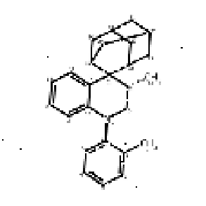 Cc1ccccc1N1C[C@@H](C)C2(c3ccccc31)C1CC3CC(C1)CC2C3